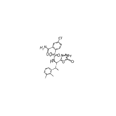 Cc1cccc(C(C)C(NS(=O)(=O)c2ccc(Cl)cc2C(N)=O)c2n[nH]c(=O)o2)c1C